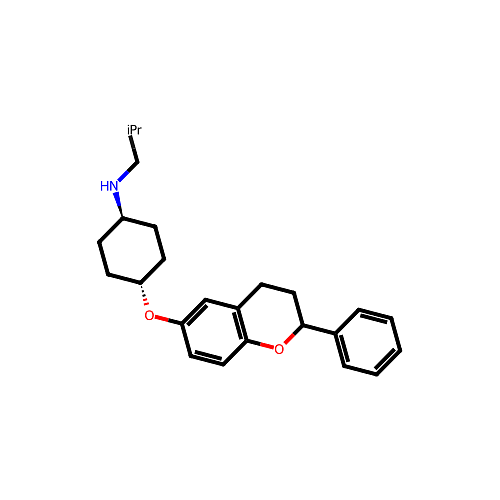 CC(C)CN[C@H]1CC[C@H](Oc2ccc3c(c2)CCC(c2ccccc2)O3)CC1